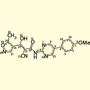 COc1ccc(-c2cnc(NC(=O)/C(C#N)=C(\O)c3cnoc3C)nc2)cc1